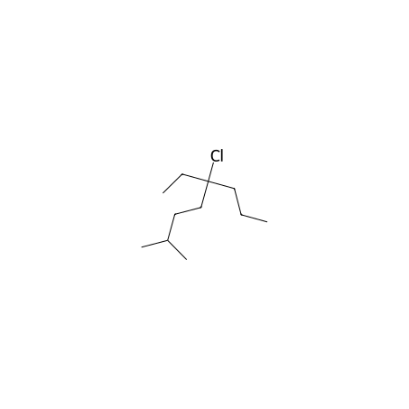 CCCC(Cl)(CC)CCC(C)C